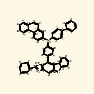 c1ccc(-c2ccc(N(c3ccc(-c4c5sc(-c6ccccc6)nc5cc5oc6ccccc6c45)cc3)c3ccc4c(ccc5ccccc54)c3)cc2)cc1